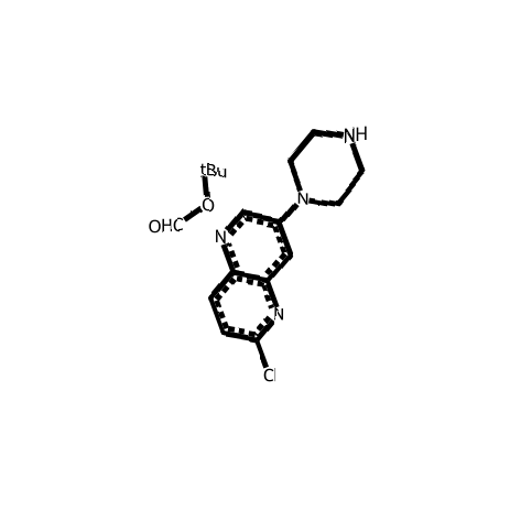 CC(C)(C)OC=O.Clc1ccc2ncc(N3CCNCC3)cc2n1